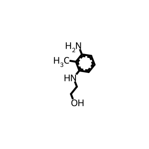 Cc1c(N)cccc1NCCO